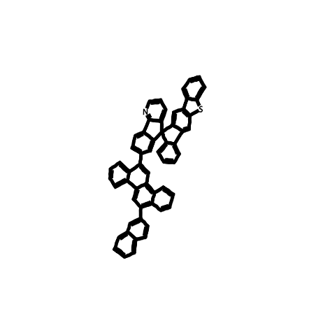 c1ccc2c(c1)-c1cc3sc4ccccc4c3cc1C21c2cc(-c3cc4c5ccccc5c(-c5ccc6ccccc6c5)cc4c4ccccc34)ccc2-c2ncccc21